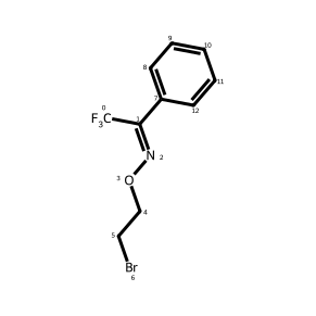 FC(F)(F)C(=NOCCBr)c1ccccc1